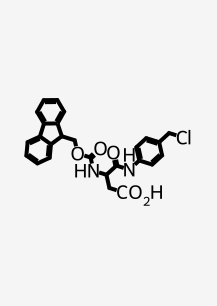 O=C(O)CC(NC(=O)OCC1c2ccccc2-c2ccccc21)C(=O)Nc1ccc(CCl)cc1